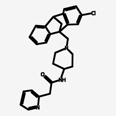 O=C(Cc1ccccn1)NC1CCN(CC23CC(c4ccccc42)c2ccc(Cl)cc23)CC1